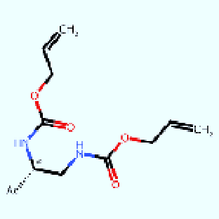 C=CCOC(=O)NC[C@@H](NC(=O)OCC=C)C(C)=O